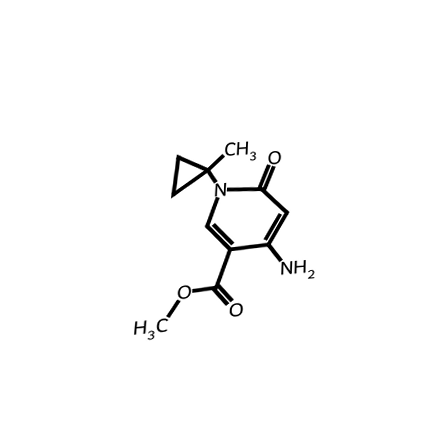 COC(=O)c1cn(C2(C)CC2)c(=O)cc1N